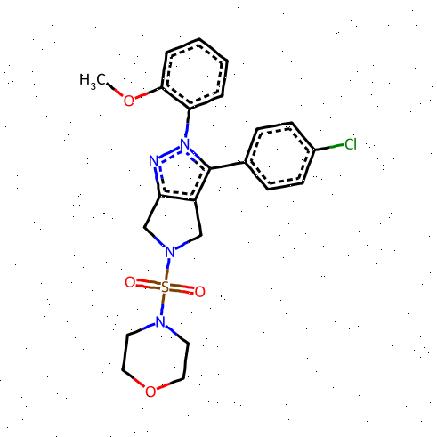 COc1ccccc1-n1nc2c(c1-c1ccc(Cl)cc1)CN(S(=O)(=O)N1CCOCC1)C2